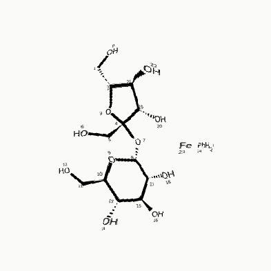 OC[C@H]1O[C@@](CO)(O[C@H]2O[C@H](CO)[C@@H](O)[C@H](O)[C@H]2O)[C@@H](O)[C@@H]1O.[Fe].[PbH2]